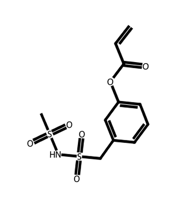 C=CC(=O)Oc1cccc(CS(=O)(=O)NS(C)(=O)=O)c1